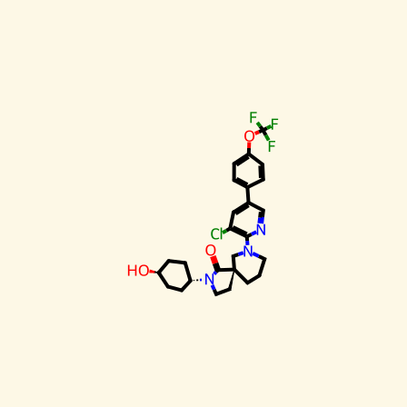 O=C1N([C@H]2CC[C@H](O)CC2)CC[C@@]12CCCN(c1ncc(-c3ccc(OC(F)(F)F)cc3)cc1Cl)C2